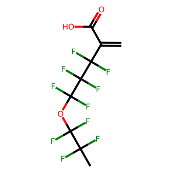 C=C(C(=O)O)C(F)(F)C(F)(F)C(F)(F)OC(F)(F)C(C)(F)F